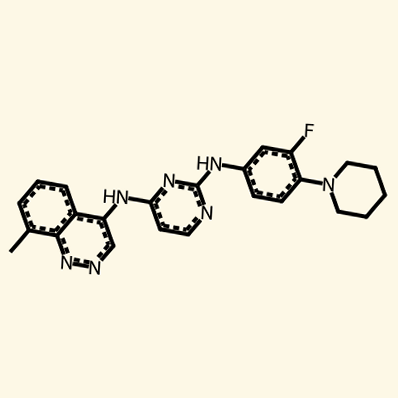 Cc1cccc2c(Nc3ccnc(Nc4ccc(N5CCCCC5)c(F)c4)n3)cnnc12